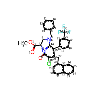 COC(=O)C1CN(Cc2ccccc2)c2c(-c3cccc(C(F)(F)F)c3)c(Cc3cccc4ccccc34)c(Cl)c(=O)n21